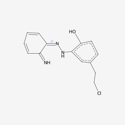 N=C1C=CC=C/C1=N/Nc1cc(CCCl)ccc1O